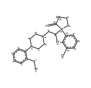 CCOc1ccccc1N1CCN(CC(CC)[N+]2(c3cccc(Cl)c3)CCNC2=O)CC1